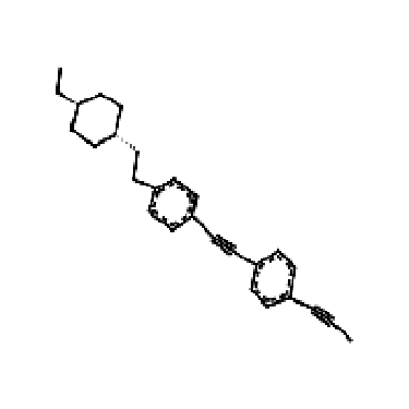 CC#Cc1ccc(C#Cc2ccc(CC[C@H]3CC[C@H](CC)CC3)cc2)cc1